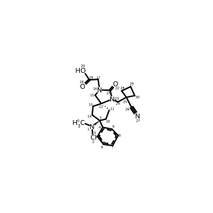 CN(C)[C@]1(c2ccccc2)CC[C@]2(CC1)CN(CC(=O)O)C(=O)N2CC1(C#N)CCC1